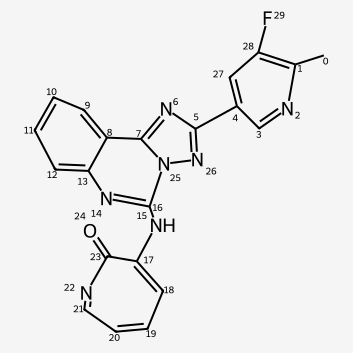 Cc1ncc(-c2nc3c4ccccc4nc(Nc4ccccnc4=O)n3n2)cc1F